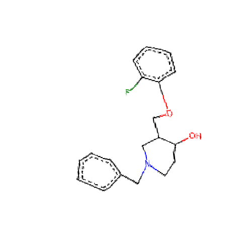 OC1CCN(Cc2ccccc2)CC1COc1ccccc1F